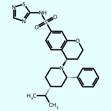 CC(C)[C@@H]1CCN([C@@H]2CCOc3cc(S(=O)(=O)Nc4ncns4)ccc32)[C@H](c2ccccc2)C1